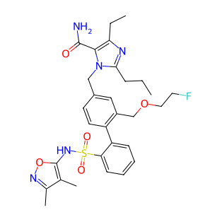 CCCc1nc(CC)c(C(N)=O)n1Cc1ccc(-c2ccccc2S(=O)(=O)Nc2onc(C)c2C)c(COCCF)c1